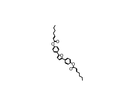 CCCCC=CC(=O)Oc1ccc(-c2ccc(-c3ccc(OC(=O)C=CCCCC)cc3)o2)cc1